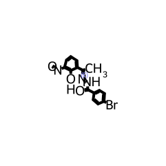 C/C(=N\NC(=O)c1ccc(Br)cc1)c1cccc(N=O)c1O